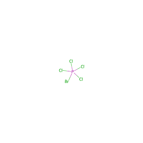 ClP(Cl)(Cl)(Cl)Br